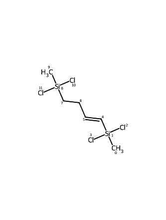 C[Si](Cl)(Cl)C=CCC[Si](C)(Cl)Cl